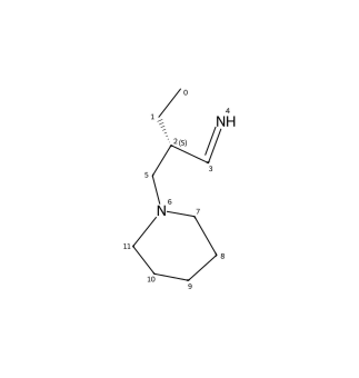 CC[C@H](C=N)CN1CCCCC1